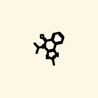 Cc1nc2c3ccccc3c(=O)n(C(C)C)c2s1